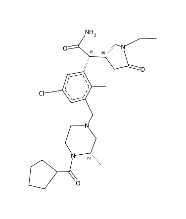 CCN1C[C@@H]([C@@H](C(N)=O)c2cc(Cl)cc(CN3CCN(C(=O)C4CCCC4)[C@@H](C)C3)c2C)CC1=O